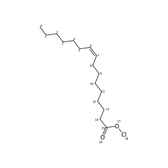 CCCCCC/C=C\CCCCCCCC(=O)OCl